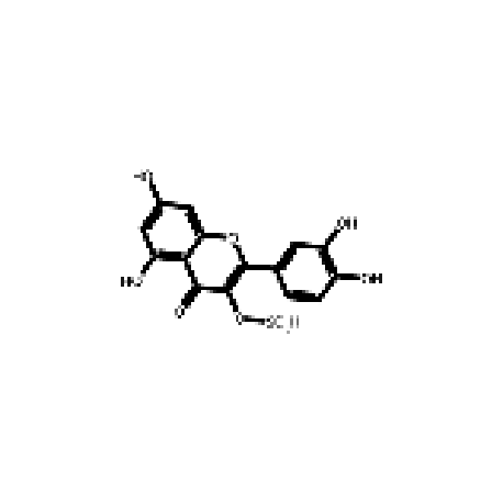 O=c1c(OS(=O)(=O)O)c(-c2ccc(O)c(O)c2)oc2cc(O)cc(O)c12